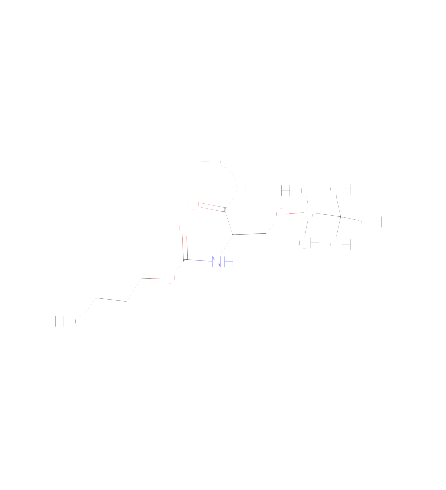 CCCCOC(=O)NC(CO[Si](C)(C)C(C)(C)C)C(=O)OC